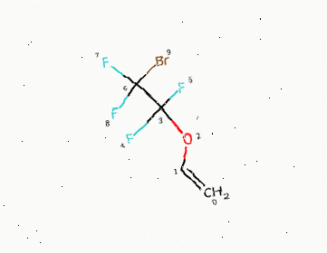 C=COC(F)(F)C(F)(F)Br